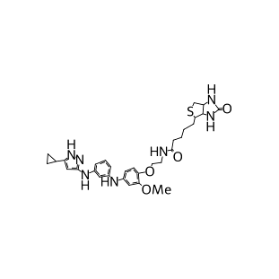 COc1cc(Nc2cccc(Nc3cc(C4CC4)[nH]n3)c2)ccc1OCCNC(=O)CCCCC1SCC2NC(=O)NC21